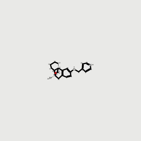 c1cc(COc2ccc3c(c2)[C@]24CCCC[C@@H]2[C@@H](CCC4)C3)ccn1